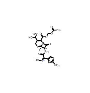 CSC(C#N)C1=C(C(=O)OCOC(=O)C(C)(C)C)N2C(=O)[C@@H](NC(=O)/C(=N\O)c3csc(N)n3)[C@@H]2SC1